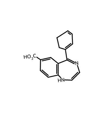 O=C(O)c1ccc2c(c1)C(C1=CC=CCC1)=NC=CN2